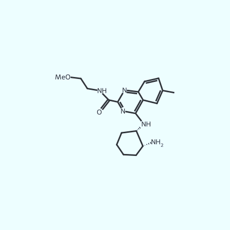 COCCNC(=O)c1nc(N[C@H]2CCCC[C@H]2N)c2cc(C)ccc2n1